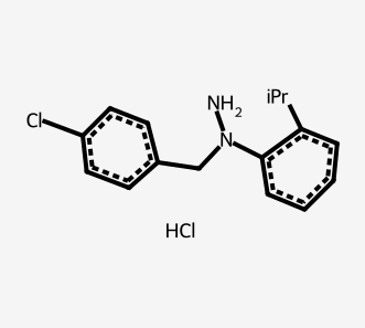 CC(C)c1ccccc1N(N)Cc1ccc(Cl)cc1.Cl